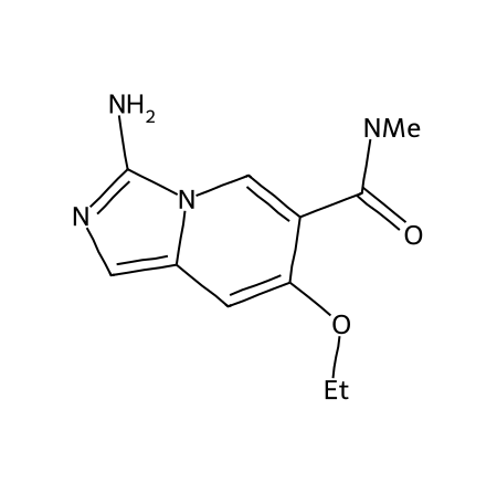 CCOc1cc2cnc(N)n2cc1C(=O)NC